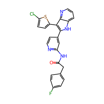 O=C(Cc1ccc(F)cc1)Nc1cc(-c2[nH]c3cccnc3c2-c2ccc(Cl)s2)ccn1